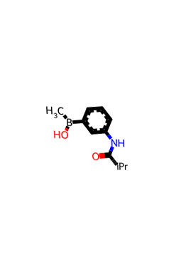 CB(O)c1cccc(NC(=O)C(C)C)c1